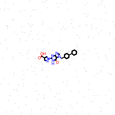 O=C(O)c1cnn(-c2nc3ncn(Cc4ccc(-c5ccccc5)cc4)c3c(=O)[nH]2)c1